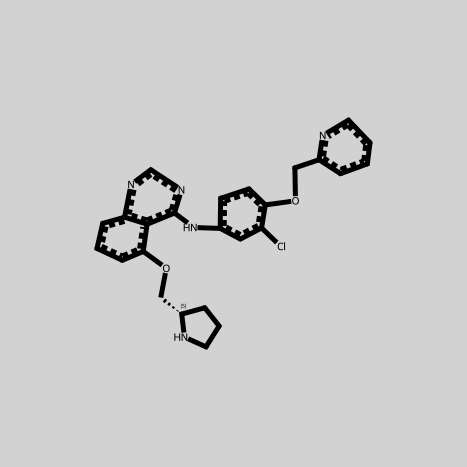 Clc1cc(Nc2ncnc3cccc(OC[C@@H]4CCCN4)c23)ccc1OCc1ccccn1